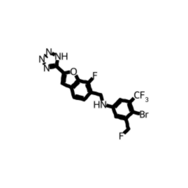 FCc1cc(NCc2ccc3cc(-c4nnn[nH]4)oc3c2F)cc(C(F)(F)F)c1Br